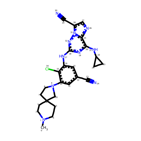 CN1CCC2(CC1)CCN(c1cc(C#N)cc(Nc3nc(NC4CC4)c4ncc(C#N)n4n3)c1Cl)C2